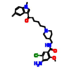 COc1cc(N)c(Cl)cc1C(=O)NCC1CCN(CCCCCC(=O)c2cn(C)c3ccc(C)cc23)CC1